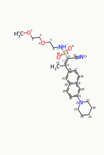 COCCOCCNS(=O)(=O)/C(C#N)=C(\C)c1ccc2cc(N3CCCCC3)ccc2c1